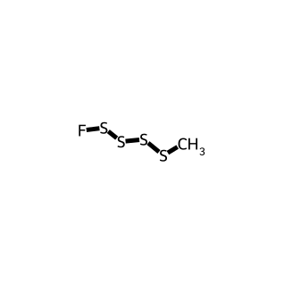 CSSSSF